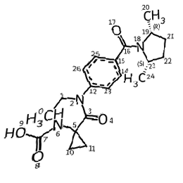 CCN(C(=O)C1(NC(=O)O)CC1)c1ccc(C(=O)N2[C@H](C)CC[C@@H]2C)cc1